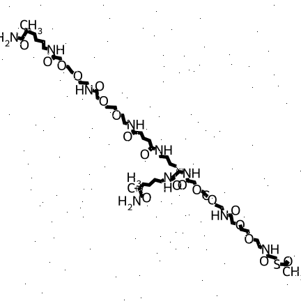 CC(=O)SCC(=O)NCCOCCOCC(=O)NCCOCCOCC(=O)N[C@@H](CCCCNC(=O)CCCC(=O)NCCOCCOCC(=O)NCCOCCOCC(=O)NCCCC[C@H](C)C(N)=O)C(=O)NCCCC[C@@H](C)C(N)=O